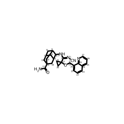 N#C/N=C(/NC1C2CC3CC1CC(C(N)=O)(C3)C2)C1(OCc2cccc3cccnc23)CC1